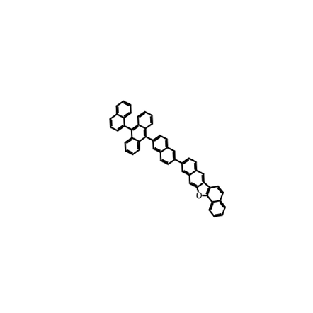 c1ccc2c(-c3c4ccccc4c(-c4ccc5cc(-c6ccc7cc8c(cc7c6)oc6c7ccccc7ccc86)ccc5c4)c4ccccc34)cccc2c1